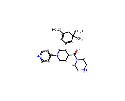 CC1(C(=O)O)C=CC=C(C(=O)O)C1.O=C(C1CCN(c2ccncc2)CC1)N1CCNCC1